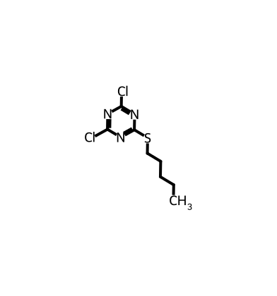 CCCCCSc1nc(Cl)nc(Cl)n1